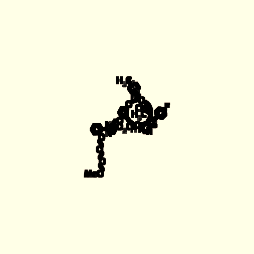 COCCOCCOCCOc1ccccc1-c1nccc(COc2ccc3cc2C[C@H](C(=O)O)Oc2ncnc4sc(-c5ccc(F)cc5)c(c24)-c2ccc(c(Cl)c2C)O[C@H](CN2CCN(C)CC2)CO3)n1